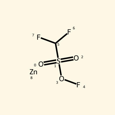 O=S(=O)(OF)C(F)F.[Zn]